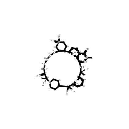 C[C@H]1Nc2nn(C)c(=O)c3ccc(cc23)C2CCS(=O)(=O)CC2CCCCNC(=O)[C@H](C)N2CCC(CC2)C(F)(F)c2cccc1c2